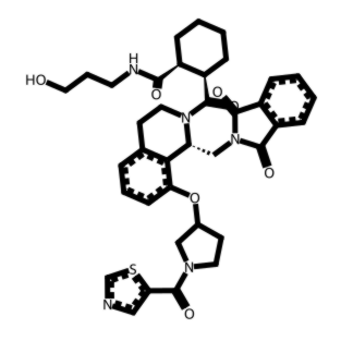 O=C(NCCCO)[C@H]1CCCC[C@H]1C(=O)N1CCc2cccc(OC3CCN(C(=O)c4cncs4)C3)c2[C@H]1CN1C(=O)c2ccccc2C1=O